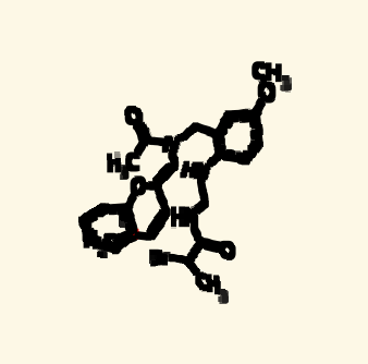 C=C(F)/C=C\C(=C\N(Cc1cc(OC)ccc1NCNC(=O)C(C)Br)C(C)=O)Oc1ccccc1